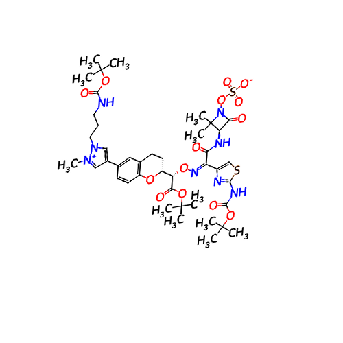 C[n+]1cc(-c2ccc3c(c2)CC[C@H]([C@H](O/N=C(\C(=O)N[C@@H]2C(=O)N(OS(=O)(=O)[O-])C2(C)C)c2csc(NC(=O)OC(C)(C)C)n2)C(=O)OC(C)(C)C)O3)cn1CCCNC(=O)OC(C)(C)C